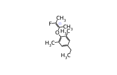 CCc1cc(C)c(O/C(C)=C(/C)F)c(C)c1